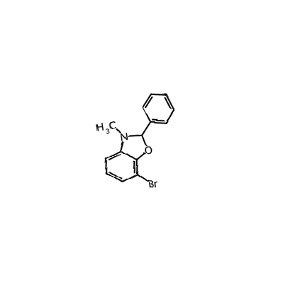 CN1c2cccc(Br)c2OC1c1ccccc1